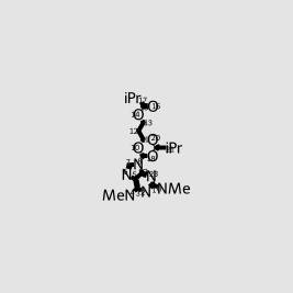 CNc1nc(NC)c2ncn(C(OCCCOC(=O)C(C)C)OC(=O)C(C)C)c2n1